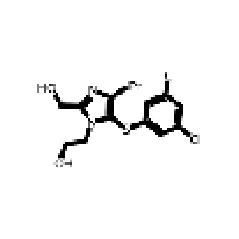 CC(C)c1nc(CO)n(CCO)c1Sc1cc(Cl)cc(Cl)c1